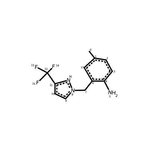 Cc1ccc(N)c(Cn2ccc(C(F)(F)F)n2)c1